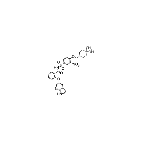 CC1(O)CCC(COc2ccc(S(=O)(=O)NC(=O)c3ccccc3Oc3cnc4[nH]ccc4c3)cc2[N+](=O)[O-])CC1